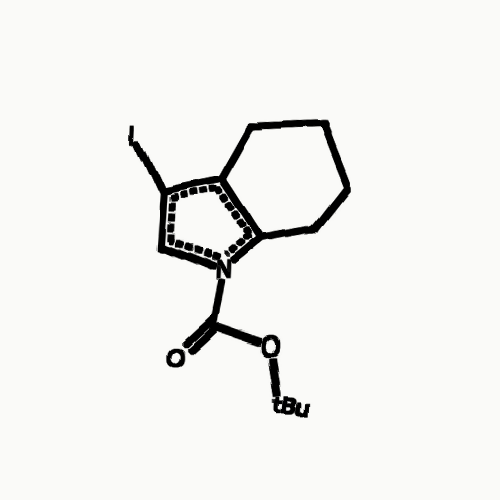 CC(C)(C)OC(=O)n1cc(I)c2c1CCCC2